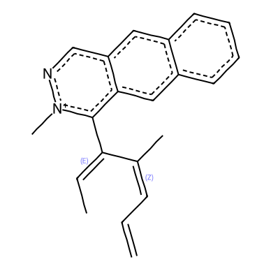 C=C/C=C(C)\C(=C/C)c1c2cc3ccccc3cc2cn[n+]1C